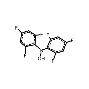 OB(c1c(F)cc(F)cc1F)c1c(F)cc(F)cc1F